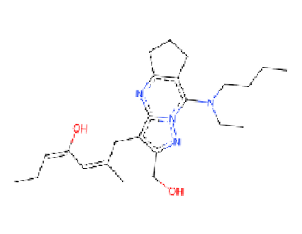 CC/C=C(O)\C=C(\C)Cc1c(CO)nn2c(N(CC)CCCC)c3c(nc12)CCC3